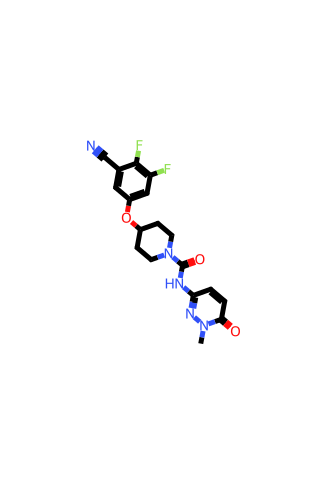 Cn1nc(NC(=O)N2CCC(Oc3cc(F)c(F)c(C#N)c3)CC2)ccc1=O